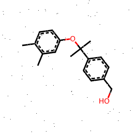 Cc1ccc(OC(C)(C)c2ccc(CO)cc2)cc1C